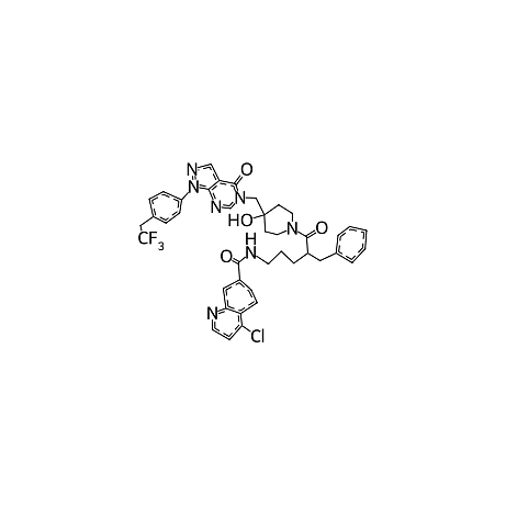 O=C(NCCCC(Cc1ccccc1)C(=O)N1CCC(O)(Cn2cnc3c(cnn3-c3ccc(CC(F)(F)F)cc3)c2=O)CC1)c1ccc2c(Cl)ccnc2c1